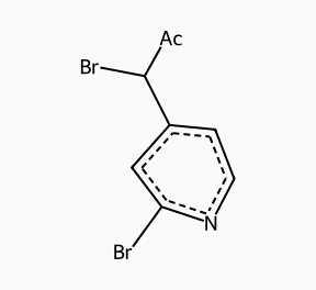 CC(=O)C(Br)c1ccnc(Br)c1